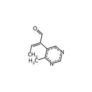 C/C=C(/C=O)c1cncnc1C